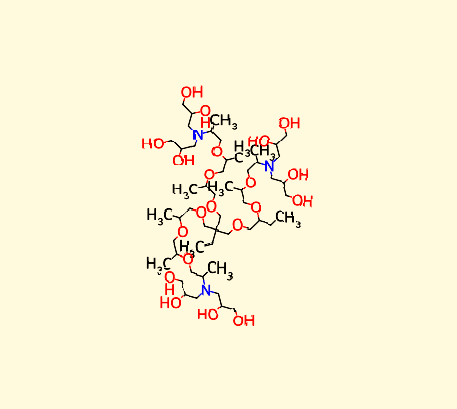 CCC(COCC(CC)(COCC(C)OCC(C)OCC(C)N(CC(O)CO)CC(O)CO)COCC(C)OCC(C)OCC(C)N(CC(O)CO)CC(O)CO)OCC(C)OCC(C)N(CC(O)CO)CC(O)CO